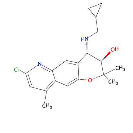 Cc1cc(Cl)nc2cc3c(cc12)OC(C)(C)[C@H](O)[C@H]3NCC1CC1